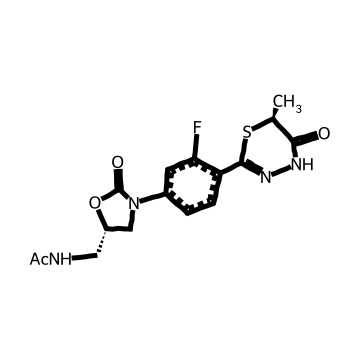 CC(=O)NC[C@H]1CN(c2ccc(C3=NNC(=O)[C@H](C)S3)c(F)c2)C(=O)O1